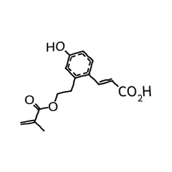 C=C(C)C(=O)OCCc1cc(O)ccc1C=CC(=O)O